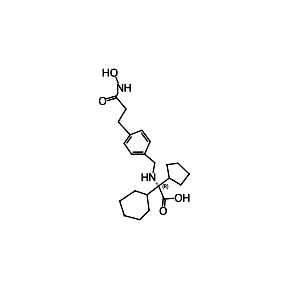 O=C(CCc1ccc(CN[C@](C(=O)O)(C2CCCCC2)C2CCCC2)cc1)NO